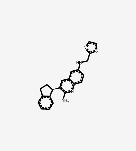 Nc1nc2ccc(NCc3nccs3)cc2cc1[C@@H]1CCc2ccccc21